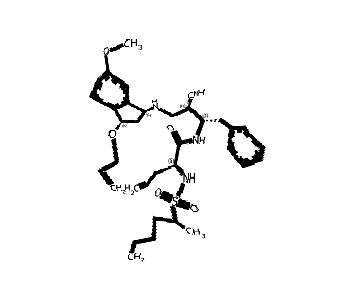 C=CCO[C@@H]1C[C@H](NC[C@@H](O)[C@H](Cc2ccccc2)NC(=O)[C@H](CC=C)NS(=O)(=O)C(C)CCCC)c2cc(OC)ccc21